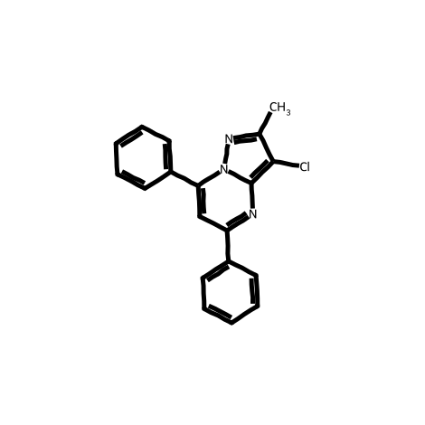 Cc1nn2c(-c3ccccc3)cc(-c3ccccc3)nc2c1Cl